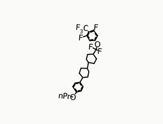 CCCOc1ccc(C2CCC(C3CCC(C(F)(F)Oc4cc(F)c(C(F)(F)F)c(F)c4)CC3)CC2)cc1